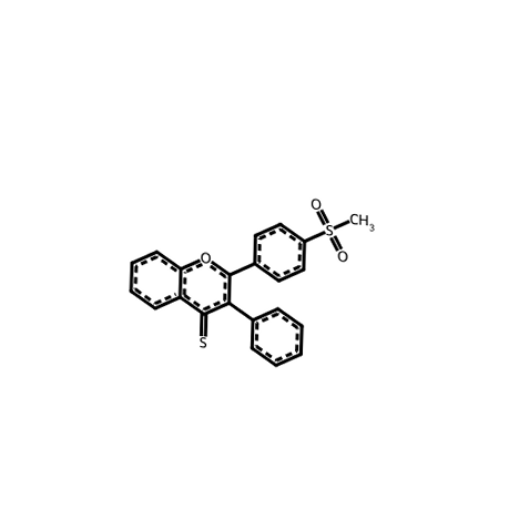 CS(=O)(=O)c1ccc(-c2oc3ccccc3c(=S)c2-c2ccccc2)cc1